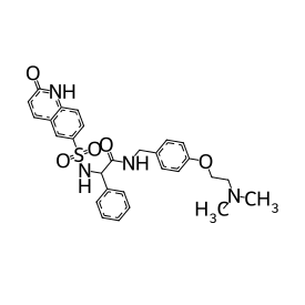 CN(C)CCOc1ccc(CNC(=O)C(NS(=O)(=O)c2ccc3[nH]c(=O)ccc3c2)c2ccccc2)cc1